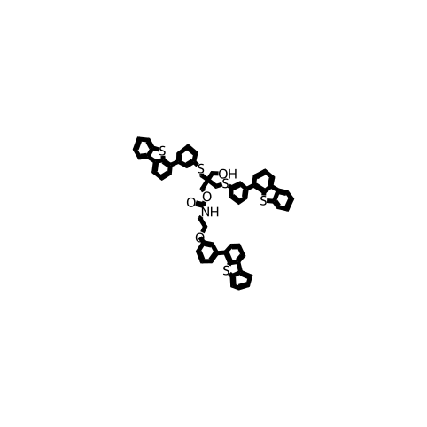 O=C(NCCOc1cccc(-c2cccc3c2sc2ccccc23)c1)OCC(CO)(CSc1cccc(-c2cccc3c2sc2ccccc23)c1)CSc1cccc(-c2cccc3c2sc2ccccc23)c1